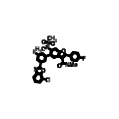 CNC(=O)c1c(-c2ccc(F)cc2)oc2cc(N(C)S(C)(=O)=O)c(-c3cc(F)cc(-c4nc5cccc(Cl)c5o4)c3)cc12